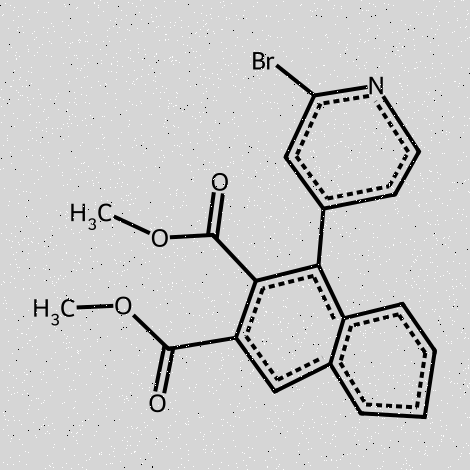 COC(=O)c1cc2ccccc2c(-c2ccnc(Br)c2)c1C(=O)OC